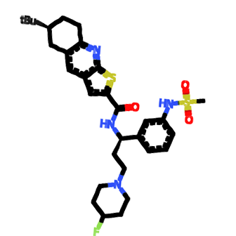 CC(C)(C)[C@H]1CCc2nc3sc(C(=O)N[C@H](CCN4CCC(F)CC4)c4cccc(NS(C)(=O)=O)c4)cc3cc2C1